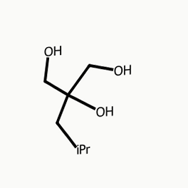 CC(C)CC(O)(CO)CO